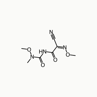 CON=C(C#N)C(=O)NC(=O)N(C)OC